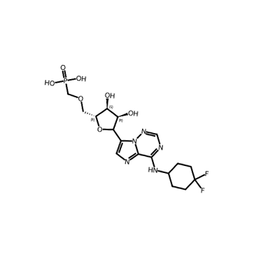 O=P(O)(O)COC[C@H]1OC(c2cnc3c(NC4CCC(F)(F)CC4)ncnn23)[C@H](O)[C@@H]1O